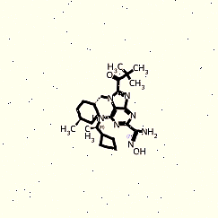 C[C@@H](Nc1nc(/C(N)=N/O)nc2nc(C(=O)C(C)(C)C)n(C[C@H]3CC[C@H](C)CC3)c12)C1CCC1